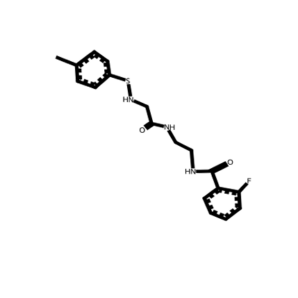 Cc1ccc(SNCC(=O)NCCNC(=O)c2ccccc2F)cc1